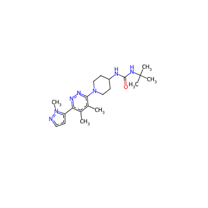 Cc1c(-c2ccnn2C)nnc(N2CCC(NC(=O)NC(C)(C)C)CC2)c1C